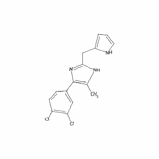 Cc1[nH]c(Cc2ccc[nH]2)nc1-c1ccc(Cl)c(Cl)c1